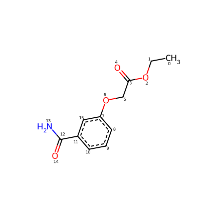 CCOC(=O)COc1cccc(C(N)=O)c1